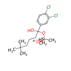 C[SiH](C)OC(O)(c1ccc(Cl)c(Cl)c1)[C@H](O)CCC(C)(C)C